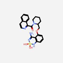 NC1=NS(O)(O)Nc2cccc(OCC3CCCCN3C(=O)c3nccc4ccccc34)c21